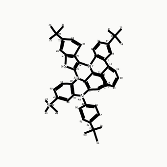 Cc1cc2c3c(c1)N(c1ccc(C(C)(C)C)cc1-c1ccccc1)c1c(sc4cc(C(C)(C)C)ccc14)B3c1ccc([Si](C)(C)C)cc1N2c1ccc(C(C)(C)C)cc1